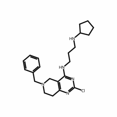 Clc1nc2c(c(NCCCNC3CCCC3)n1)CN(Cc1ccccc1)CC2